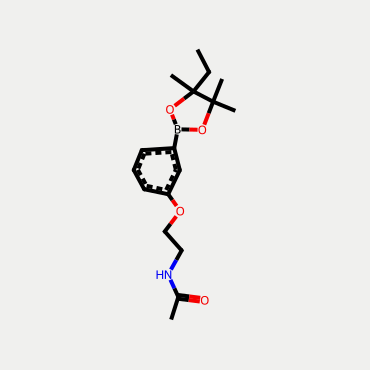 CCC1(C)OB(c2cccc(OCCNC(C)=O)c2)OC1(C)C